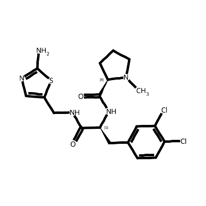 CN1CCC[C@@H]1C(=O)N[C@@H](Cc1ccc(Cl)c(Cl)c1)C(=O)NCc1cnc(N)s1